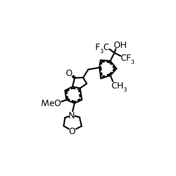 COc1cc2c(cc1N1CCOCC1)CC(Cc1cc(C)cc(C(O)(C(F)(F)F)C(F)(F)F)c1)C2=O